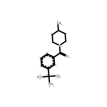 CC1CCN(C(=O)c2cccc(C(C)(C)C)c2)CC1